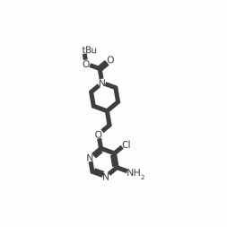 CC(C)(C)OC(=O)N1CCC(COc2ncnc(N)c2Cl)CC1